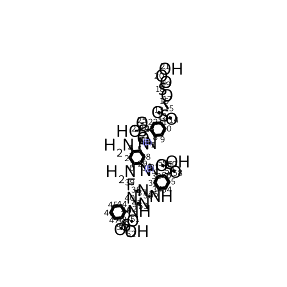 Nc1cc(N)c(/N=N/c2ccc(S(=O)(=O)CCOSOOO)cc2S(=O)(=O)O)cc1/N=N/c1cc(Nc2nc(F)nc(Nc3ccccc3S(=O)(=O)O)n2)ccc1S(=O)(=O)O